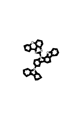 c1ccc2c(c1)Oc1cccc3nc(-n4c5ccc(-n6c7ccccc7c7ccccc76)cc5c5ccc6c7ccccc7oc6c54)nc-2c13